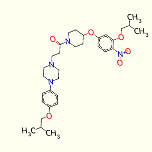 CC(C)COc1ccc(N2CCN(CCC(=O)N3CCC(Oc4ccc([N+](=O)[O-])c(OCC(C)C)c4)CC3)CC2)cc1